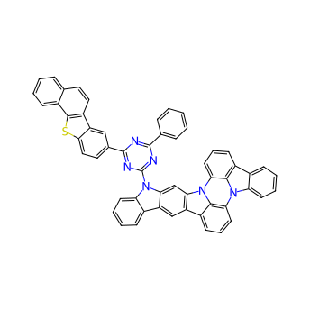 c1ccc(-c2nc(-c3ccc4sc5c6ccccc6ccc5c4c3)nc(-n3c4ccccc4c4cc5c6cccc7c6n(c5cc43)c3cccc4c5ccccc5n7c43)n2)cc1